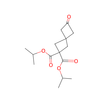 CC(C)OC(=O)C1(C(=O)OC(C)C)CC2(CC(=O)C2)C1